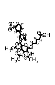 CC(=O)N[C@H]1C(OC(C)=O)[C@@H](OC(C)=O)C(Cn2cc(-c3cccc([N+](=O)[O-])c3)nn2)O[C@H]1OCCCCC(=O)O